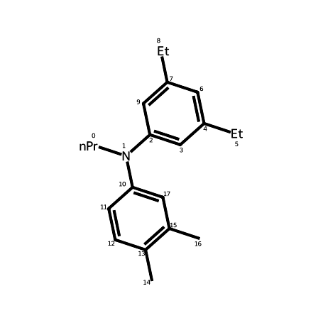 CCCN(c1cc(CC)cc(CC)c1)c1ccc(C)c(C)c1